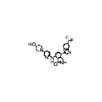 O=C1NCc2c(-c3cnc4cc(C(F)F)ccn34)ccc(Nc3ccc(N4CCC(O)CC4)cn3)c21